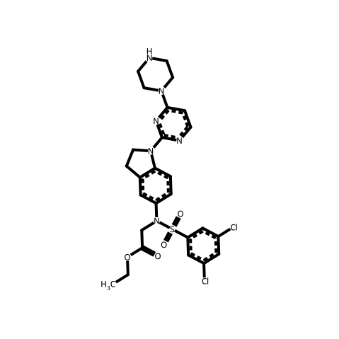 CCOC(=O)CN(c1ccc2c(c1)CCN2c1nccc(N2CCNCC2)n1)S(=O)(=O)c1cc(Cl)cc(Cl)c1